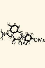 COc1ccc([C@H]2Sc3ccc(C)cc3N(CCN(C)C)C(=O)[C@H]2OC(C)=O)cc1